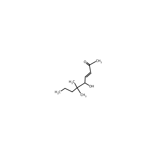 CCCC(C)(C)C(O)/C=C/C(C)=O